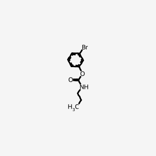 CCCNC(=O)Oc1cccc(Br)c1